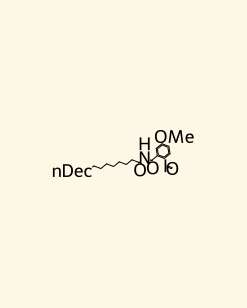 CCCCCCCCCCCCCCCCCC(=O)NC(=O)c1cc(OC)ccc1I=O